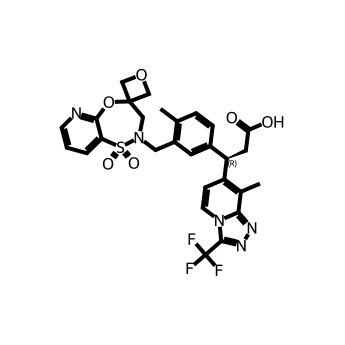 Cc1ccc([C@@H](CC(=O)O)c2ccn3c(C(F)(F)F)nnc3c2C)cc1CN1CC2(COC2)Oc2ncccc2S1(=O)=O